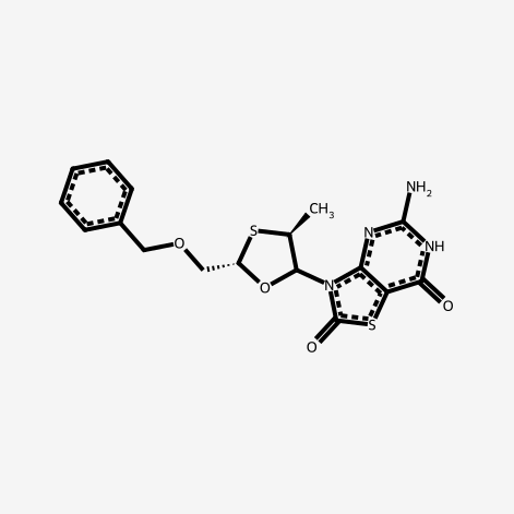 C[C@@H]1S[C@@H](COCc2ccccc2)OC1n1c(=O)sc2c(=O)[nH]c(N)nc21